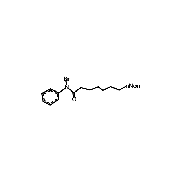 CCCCCCCCCCCCCCCC(=O)N(Br)c1ccccc1